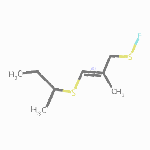 CCC(C)S/C=C(\C)CSF